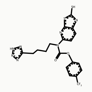 O=C(Oc1ccc(C(F)(F)F)cc1)N(CCCCc1nn[nH]n1)c1ccc2nc(S)sc2n1